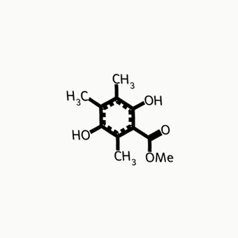 COC(=O)c1c(C)c(O)c(C)c(C)c1O